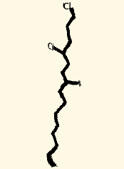 CCCCCCCCC(I)CCC(Cl)CCCCl